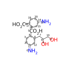 Nc1ccc(C(=O)O)c(CC(O)CO)c1.Nc1ccc(C(=O)O)cc1